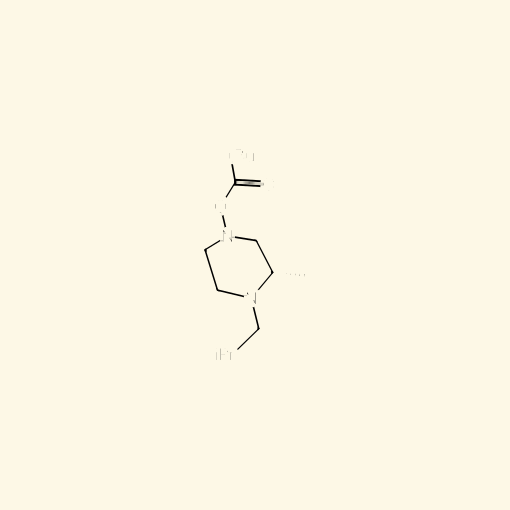 CC(C)CN1CCN(OC(=O)C(C)(C)C)C[C@@H]1C